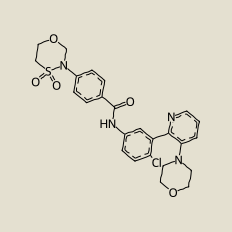 O=C(Nc1ccc(Cl)c(-c2ncccc2N2CCOCC2)c1)c1ccc(N2COCCS2(=O)=O)cc1